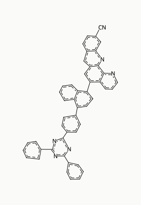 N#Cc1ccc2cc3cc(-c4ccc(-c5ccc(-c6nc(-c7ccccc7)nc(-c7ccccc7)n6)cc5)c5ccccc45)c4cccnc4c3nc2c1